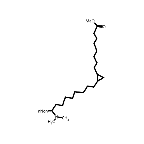 CCCCCCCCCC(CCCCCCCCC1CC1CCCCCCCC(=O)OC)N(C)C